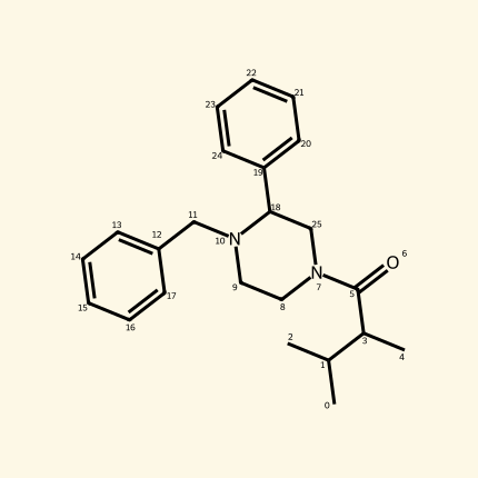 CC(C)C(C)C(=O)N1CCN(Cc2ccccc2)C(c2ccccc2)C1